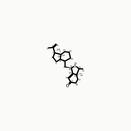 C=C(C)C1CCC2C(C[C@H]3SC(C)[C@@]4(C)CCC(=O)C=C34)CCC[C@]12C